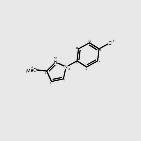 [CH]Oc1ccn(-c2ccc(Cl)cc2)n1